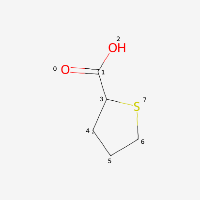 O=C(O)C1[CH]CCS1